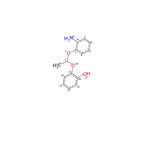 CC(Oc1ccccc1N)Oc1ccccc1O